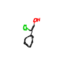 OC=C(Cl)c1ccccc1